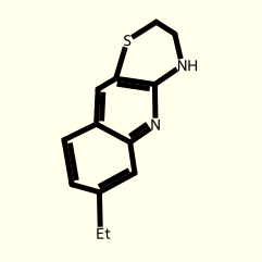 CCc1ccc2cc3c(nc2c1)NCCS3